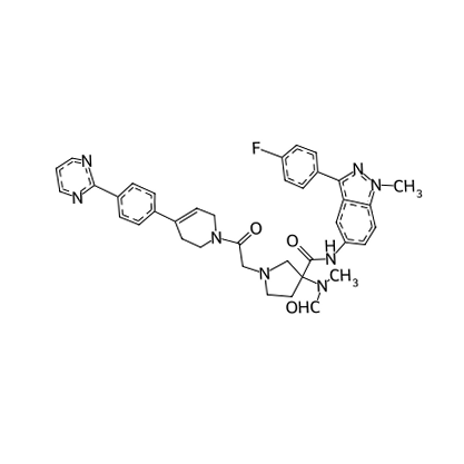 CN(C=O)C1(C(=O)Nc2ccc3c(c2)c(-c2ccc(F)cc2)nn3C)CCN(CC(=O)N2CC=C(c3ccc(-c4ncccn4)cc3)CC2)C1